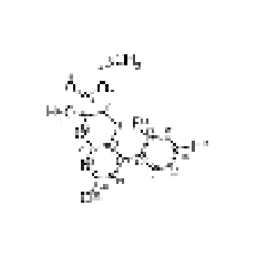 CCOC(=O)C1(C)CCc2c(-c3ccc(F)cc3F)cc(Cl)nc2O1